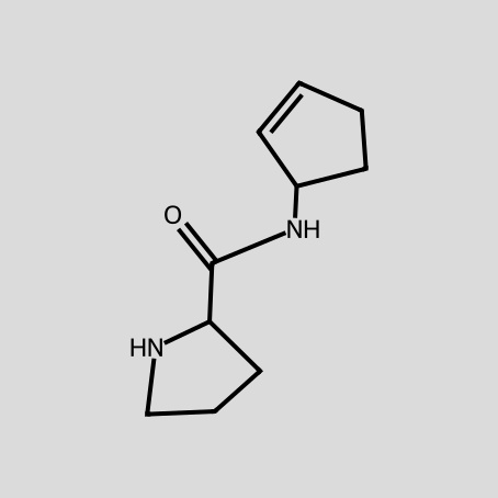 O=C(NC1C=CCC1)C1CCCN1